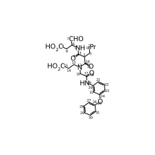 CC(C)CC(C(=O)NC(C=O)CC(=O)O)C(=O)N(CCC(=O)O)CC(=O)Nc1cccc(Oc2ccccc2)c1